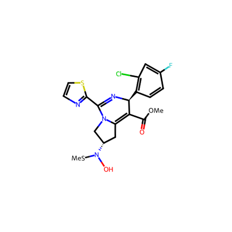 COC(=O)C1=C2C[C@H](N(O)SC)CN2C(c2nccs2)=N[C@H]1c1ccc(F)cc1Cl